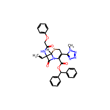 C=CC1(NC(=O)COc2ccccc2)C(=O)N2C(C(=O)OC(c3ccccc3)c3ccccc3)=C(c3nnnn3C)CS[C@H]21